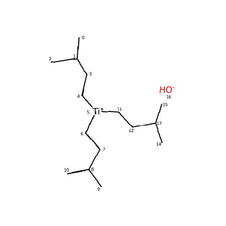 CC(C)C[CH2][Ti+]([CH2]CC(C)C)[CH2]CC(C)C.[OH-]